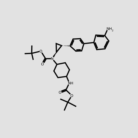 CC(C)(C)OC(=O)NC1CCC(N(C(=O)OC(C)(C)C)[C@H]2C[C@@H]2c2ccc(-c3cccc(N)c3)cc2)CC1